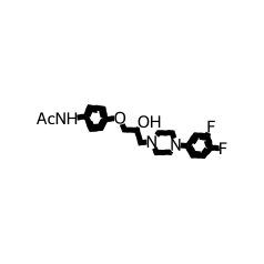 CC(=O)Nc1ccc(OC[C@@H](O)CN2CCN(c3ccc(F)c(F)c3)CC2)cc1